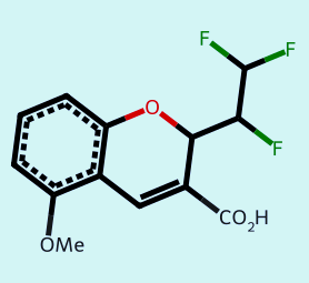 COc1cccc2c1C=C(C(=O)O)C(C(F)C(F)F)O2